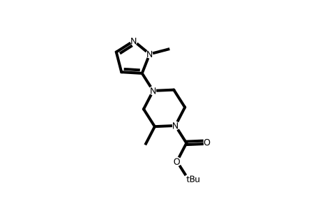 CC1CN(c2ccnn2C)CCN1C(=O)OC(C)(C)C